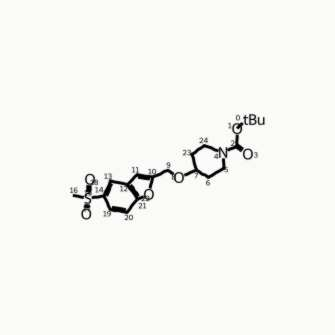 CC(C)(C)OC(=O)N1CCC(OCc2cc3cc(S(C)(=O)=O)ccc3o2)CC1